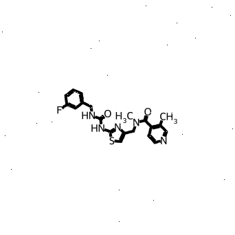 Cc1cnccc1C(=O)N(C)Cc1csc(NC(=O)NCc2cccc(F)c2)n1